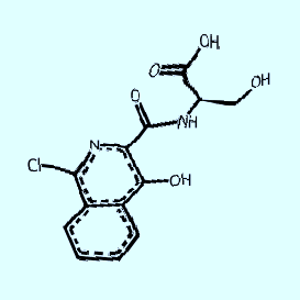 O=C(N[C@H](CO)C(=O)O)c1nc(Cl)c2ccccc2c1O